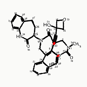 CN(CCC(=O)N(Cc1c(C#CC2(O)COC2)ccc2ccccc12)C1CCc2ccccc2NC1=O)C(=O)OC(C)(C)C